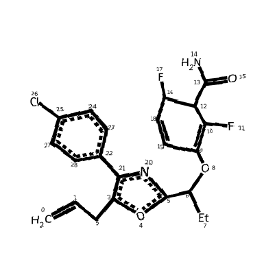 C=CCc1oc(C(CC)OC2=C(F)C(C(N)=O)C(F)C=C2)nc1-c1ccc(Cl)cc1